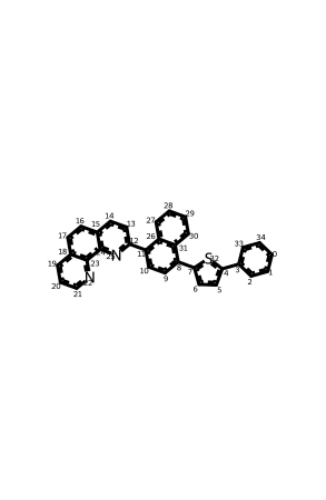 c1ccc(-c2ccc(-c3ccc(-c4ccc5ccc6cccnc6c5n4)c4ccccc34)s2)cc1